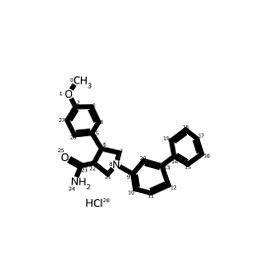 COc1ccc(C2CN(c3cccc(-c4ccccc4)c3)CC2C(N)=O)cc1.Cl